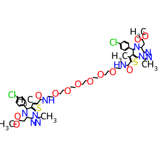 COC(=O)CC1N=C(c2ccc(Cl)cc2)c2c(sc(C(=O)NCCOCCOCCOCCOCCOCCOCCNC(=O)c3sc4c(c3C)C(c3ccc(Cl)cc3)=NC(CC(=O)OC)c3nnc(C)n3-4)c2C)-n2c(C)nnc21